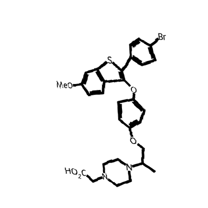 COc1ccc2c(Oc3ccc(OCC(C)N4CCN(CC(=O)O)CC4)cc3)c(-c3ccc(Br)cc3)sc2c1